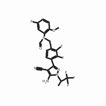 COc1ccc(F)cc1N(C=O)Cc1ccc(-c2nn(C(C)C(F)(F)F)c(N)c2C#N)c(F)c1F